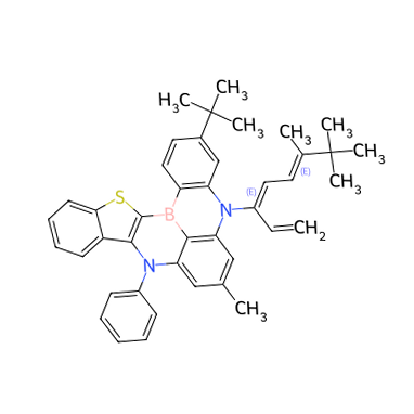 C=C/C(=C\C=C(/C)C(C)(C)C)N1c2cc(C(C)(C)C)ccc2B2c3sc4ccccc4c3N(c3ccccc3)c3cc(C)cc1c32